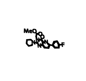 COC(=O)Cn1c(N2CCCCC2)nc2ccc(-c3ccc(F)cc3)nc2c1=O